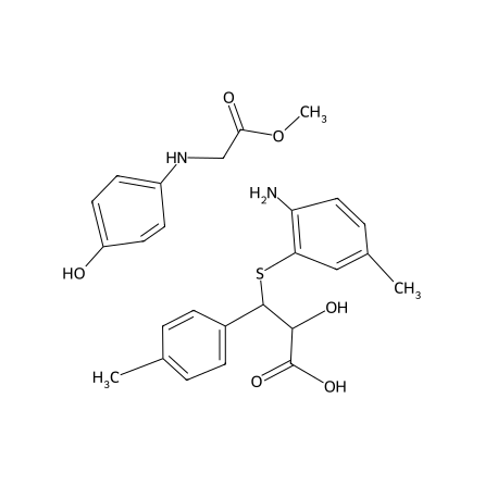 COC(=O)CNc1ccc(O)cc1.Cc1ccc(C(Sc2cc(C)ccc2N)C(O)C(=O)O)cc1